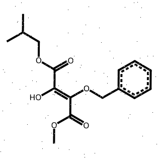 COC(=O)/C(OCc1ccccc1)=C(\O)C(=O)OCC(C)C